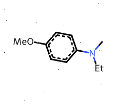 CCN(C)c1ccc(OC)cc1